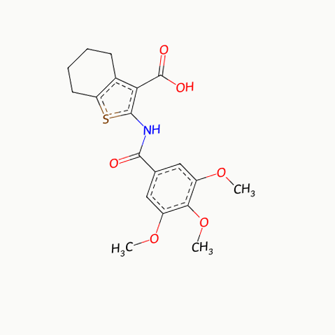 COc1cc(C(=O)Nc2sc3c(c2C(=O)O)CCCC3)cc(OC)c1OC